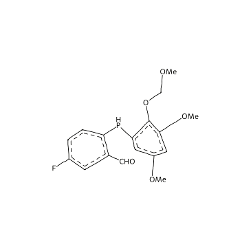 COCOc1c(OC)cc(OC)cc1Pc1ccc(F)cc1C=O